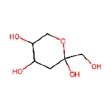 OCC1(O)CC(O)C(O)CO1